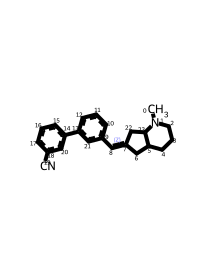 CN1CCCC2C/C(=C/c3cccc(-c4cccc(C#N)c4)c3)CC21